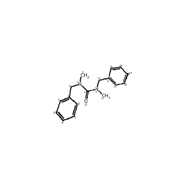 CN(Cc1ccccc1)C(=O)N(C)Cc1ccccc1